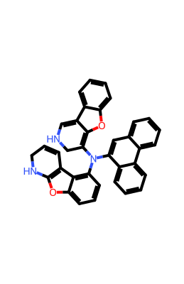 C1=Cc2c(oc3cccc(N(C4=c5oc6ccccc6c5=CNC4)c4cc5ccccc5c5ccccc45)c23)NC1